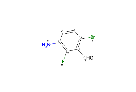 Nc1ccc(Br)c(C=O)c1F